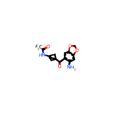 Nc1cc2c(cc1C(=O)C13CC(NC(=O)C(F)(F)F)(C1)C3)OCO2